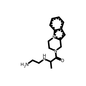 CC(NCCN)C(=O)N1CCn2c(cc3ccccc32)C1